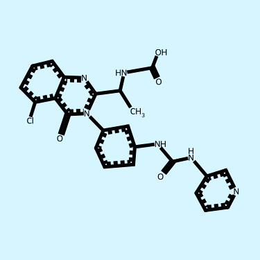 CC(NC(=O)O)c1nc2cccc(Cl)c2c(=O)n1-c1cccc(NC(=O)Nc2cccnc2)c1